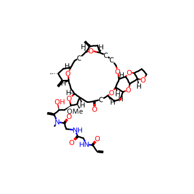 C=CC(=O)NCC(=O)NCC(=O)N(C)C(=C)[C@@H](O)C[C@H]1O[C@H]2C[C@H]3O[C@@H](CC[C@@H]4O[C@@H](CCCO[C@@H]5C6OC7CCO[C@@H]7C6O[C@H]6CC[C@H](CC(=O)C[C@@H]2[C@H]1OC)O[C@@H]65)CC4=C)C[C@@H](C)C3=C